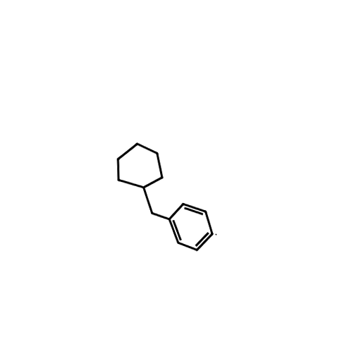 [c]1ccc(CC2CCCCC2)cc1